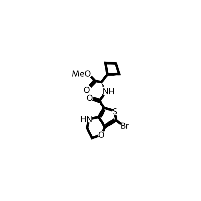 COC(=O)[C@@H](NC(=O)c1sc(Br)c2c1NCCO2)C1CCC1